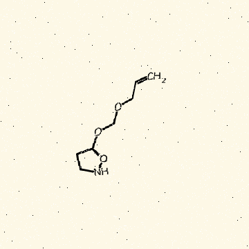 C=CCOCOC1CCNO1